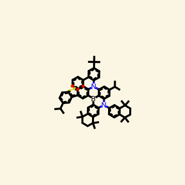 CC(C)c1cc2c3c(c1)N(c1ccc(C(C)(C)C)cc1-c1ccccc1)c1cc4sc5ccc(C(C)C)cc5c4cc1B3c1cc3c(cc1N2c1ccc2c(c1)C(C)(C)CCC2(C)C)C(C)(C)CCC3(C)C